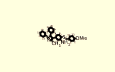 COc1ccc(CSc2ccc(-c3c(C)nn(-c4ccccc4)c3-c3ccccc3)cc2N)cc1